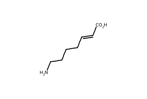 NCCCC/C=C/C(=O)O